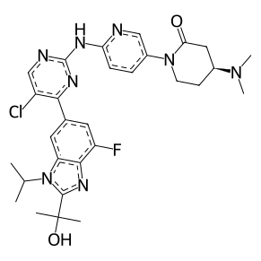 CC(C)n1c(C(C)(C)O)nc2c(F)cc(-c3nc(Nc4ccc(N5CC[C@H](N(C)C)CC5=O)cn4)ncc3Cl)cc21